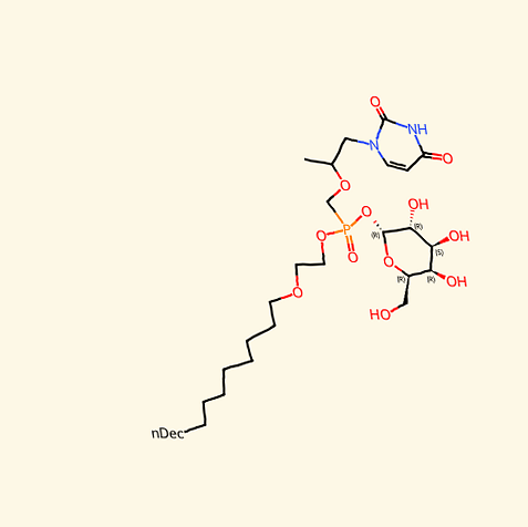 CCCCCCCCCCCCCCCCCCOCCOP(=O)(COC(C)Cn1ccc(=O)[nH]c1=O)O[C@H]1O[C@H](CO)[C@H](O)[C@H](O)[C@H]1O